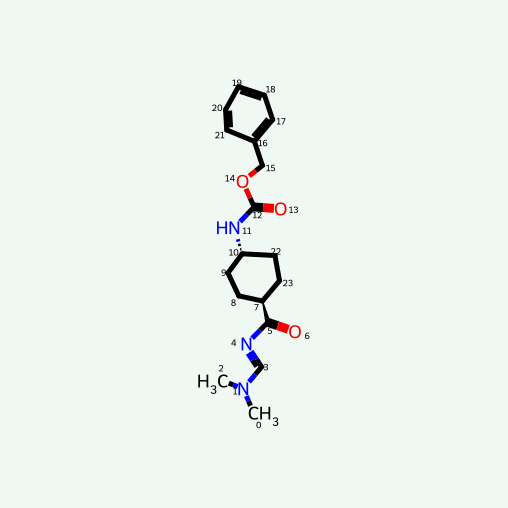 CN(C)/C=N/C(=O)[C@H]1CC[C@H](NC(=O)OCc2ccccc2)CC1